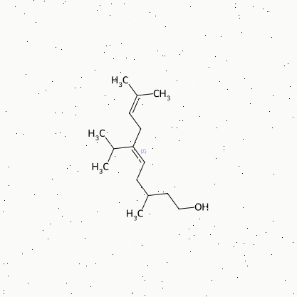 CC(C)=CC/C(=C/CC(C)CCO)C(C)C